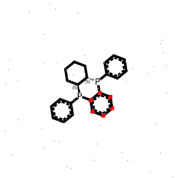 c1ccc(P(c2ccccc2)[C@H]2CCCC[C@@H]2P(c2ccccc2)c2ccccc2)cc1